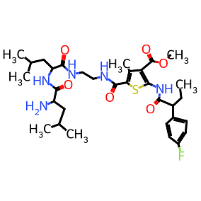 CCC(C(=O)Nc1sc(C(=O)NCCNC(=O)C(CC(C)C)NC(=O)C(N)CC(C)C)c(C)c1C(=O)OC)c1ccc(F)cc1